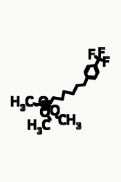 CCO[Si](CCCCCCc1ccc(C(F)(F)F)cc1)(OCC)OCC